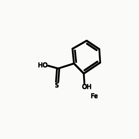 OC(=S)c1ccccc1O.[Fe]